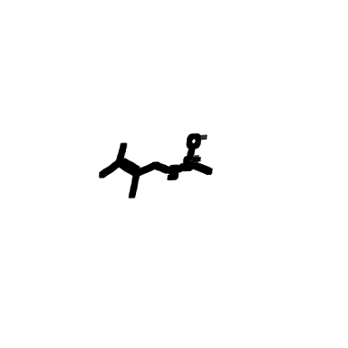 CC(C)=C(C)CS[S+](C)[O-]